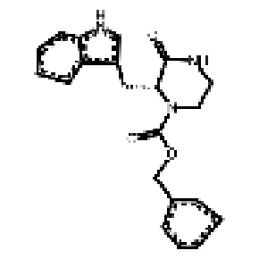 O=C1NCCN(C(=O)OCc2ccccc2)[C@@H]1Cc1c[nH]c2ccccc12